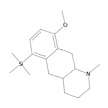 COc1ccc([Si](C)(C)C)c2c1CC1C(CCCN1C)C2